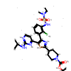 CCN(C)S(=O)(=O)Nc1cccc(-c2nc(C3CCN(C(=O)OC(C)(C)C)CC3)sc2-c2ccnc(NC(C)C)n2)c1F